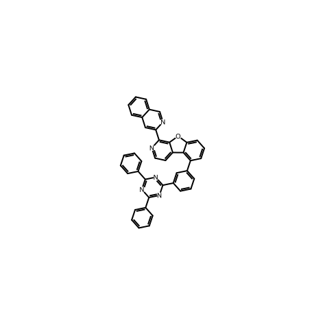 c1ccc(-c2nc(-c3ccccc3)nc(-c3cccc(-c4cccc5oc6c(-c7cc8ccccc8cn7)nccc6c45)c3)n2)cc1